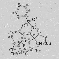 CC(C)(C)CC1CN(S(=O)(=O)c2cccnc2)C(c2cccc(Cl)c2F)C1(C#N)c1ccc(Cl)cc1F